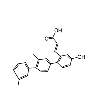 Cc1cccc(-c2ccc(-c3ccc(O)cc3/C=C/C(=O)O)cc2C)c1